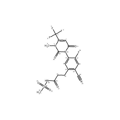 Cn1c(C(F)(F)F)cc(=O)n(-c2cc(CCC(=O)NS(C)(=O)=O)c(C#N)cc2F)c1=O